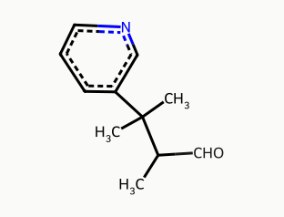 CC(C=O)C(C)(C)c1cccnc1